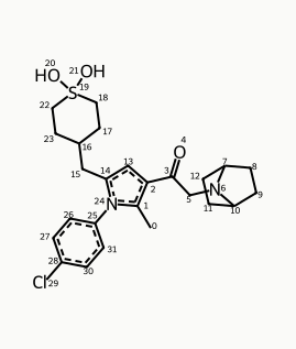 Cc1c(C(=O)CN2C3CCC2CC3)cc(CC2CCS(O)(O)CC2)n1-c1ccc(Cl)cc1